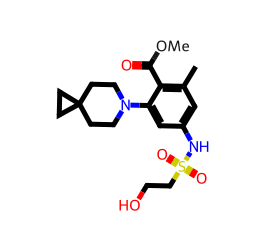 COC(=O)c1c(C)cc(NS(=O)(=O)CCO)cc1N1CCC2(CC1)CC2